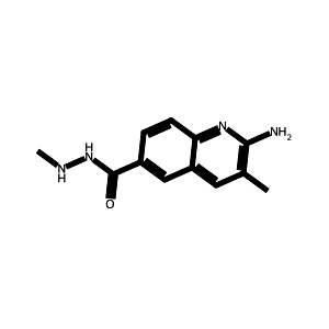 CNNC(=O)c1ccc2nc(N)c(C)cc2c1